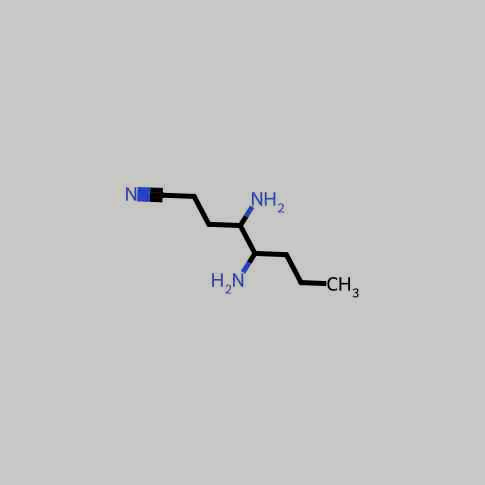 CCCC(N)C(N)CCC#N